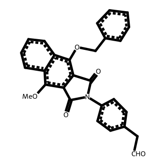 COc1c2c(c(OCc3ccccc3)c3ccccc13)C(=O)N(c1ccc(CC=O)cc1)C2=O